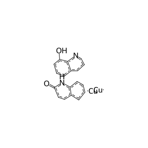 O=c1ccc2ccccc2[nH]1.Oc1cccc2cccnc12.[Cu].[Cu]